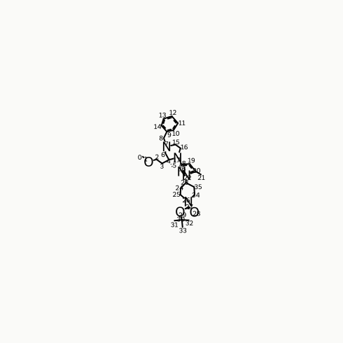 COCC[C@@]1(C)CN(Cc2ccccc2)CCN1c1cc(C)n(C2CCN(C(=O)OC(C)(C)C)CC2)n1